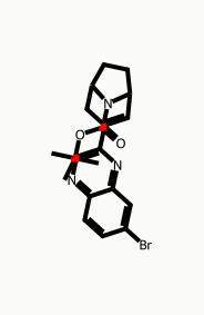 CC(C)(C)OC(=O)N1C2C=C(c3cnc4ccc(Br)cc4n3)CC1CC2